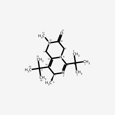 C[C@@H]1N=C(C(C)(C)C)N2CC(=O)N(C)CC2=C1C(C)(C)C